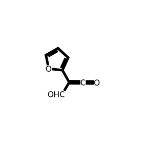 O=C=C(C=O)c1ccco1